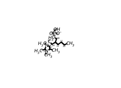 CC1=[N+](C)C(C)CN1C.CCCCC(CC)COP(=O)([O-])O